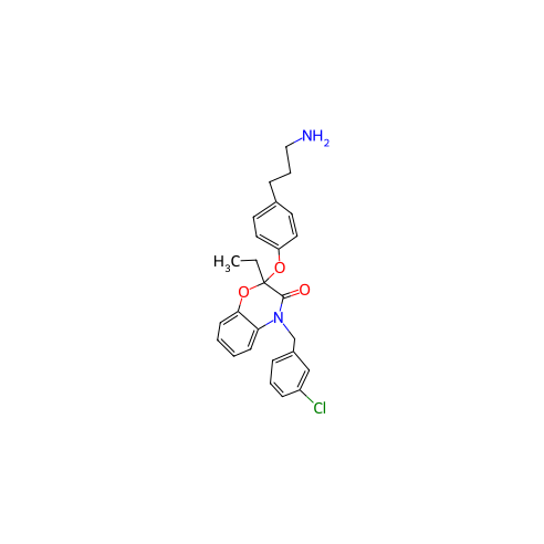 CCC1(Oc2ccc(CCCN)cc2)Oc2ccccc2N(Cc2cccc(Cl)c2)C1=O